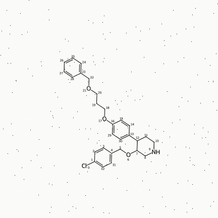 Clc1ccc(COC2CNCCC2c2ccc(OCCCOCc3ccccc3)cc2)cc1